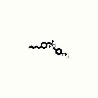 CC=CCCC1CCC(CC(F)(F)OCc2ccc(C(F)(F)F)cc2)CC1